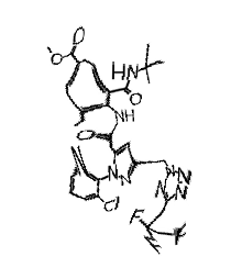 COC(=O)c1cc(C)c(NC(=O)c2cc(Cn3nnc(C(F)(F)F)n3)nn2-c2ncccc2Cl)c(C(=O)NC(C)(C)C)c1